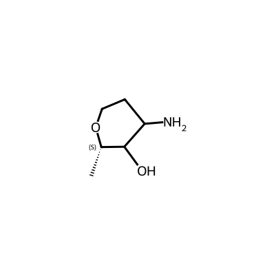 C[C@@H]1OCCC(N)C1O